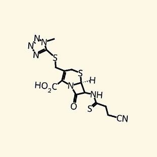 Cn1nnnc1SCC1=C(C(=O)O)N2C(=O)C(NC(=S)CCC#N)[C@@H]2SC1